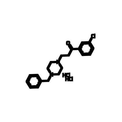 Cl.Cl.O=C(CCN1CCN(Cc2ccccc2)CC1)c1cccc(Cl)c1